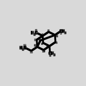 CC12CC3(C)CC(C)(C1)CC(CN)(C2)C3